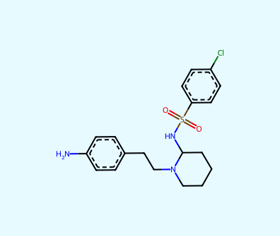 Nc1ccc(CCN2CCCCC2NS(=O)(=O)c2ccc(Cl)cc2)cc1